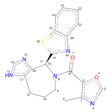 Cc1ncoc1C(=O)N1CCCc2[nH]cnc2[C@H]1c1nc2ccccc2s1